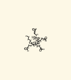 CCCCO[Si](C)(CCC1CO1)O[Si](C)(CCC1CO1)O[Si](C)(CCC1CO1)O[SiH](C)CCC1CO1